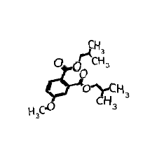 COc1ccc(C(=O)OCC(C)C)c(C(=O)OCC(C)C)c1